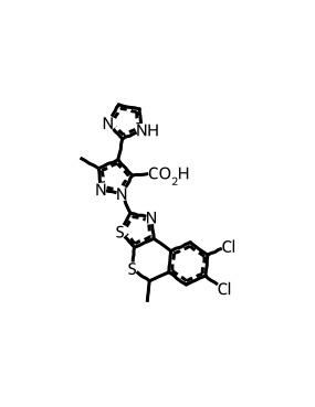 Cc1nn(-c2nc3c(s2)SC(C)c2cc(Cl)c(Cl)cc2-3)c(C(=O)O)c1-c1ncc[nH]1